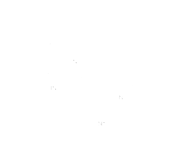 O=c1[nH]c2cc([N+](=O)[O-])c(-n3cccc3)cc2n(C2CCCCC2)c1=O